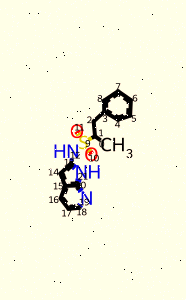 CC(Cc1ccccc1)S(=O)(=O)Nc1cc2cccnc2[nH]1